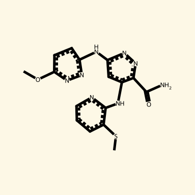 COc1ccc(Nc2cc(Nc3ncccc3SC)c(C(N)=O)nn2)nn1